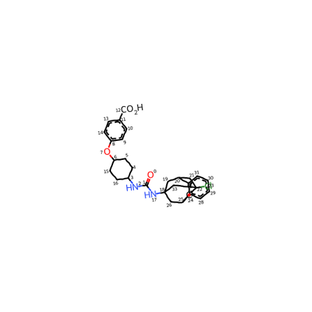 O=C(NC1CCC(Oc2ccc(C(=O)O)cc2)CC1)NC12CC3CC(Cl)(CC(C1)c1ccccc13)C2